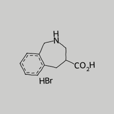 Br.O=C(O)C1CNCc2ccccc2C1